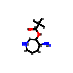 CC(C)(C)C(=O)OC1CNCCCC1N